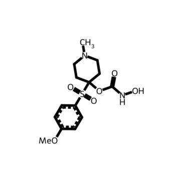 COc1ccc(S(=O)(=O)C2(OC(=O)NO)CCN(C)CC2)cc1